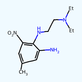 CCN(CC)CCNc1c(N)cc(C)cc1[N+](=O)[O-]